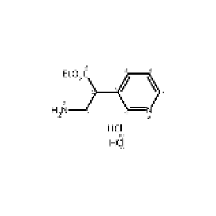 CCOC(=O)C(CN)c1cccnc1.Cl.Cl